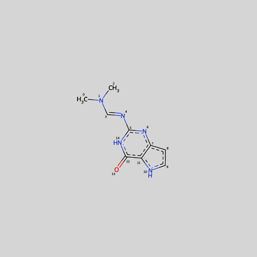 CN(C)/C=N/c1nc2cc[nH]c2c(=O)[nH]1